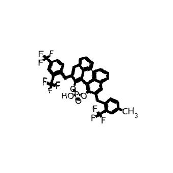 Cc1ccc(Cc2cc3ccccc3c3c2OP(=O)(O)Oc2c(Cc4ccc(C(F)(F)F)cc4C(F)(F)F)cc4ccccc4c2-3)c(C(F)(F)F)c1